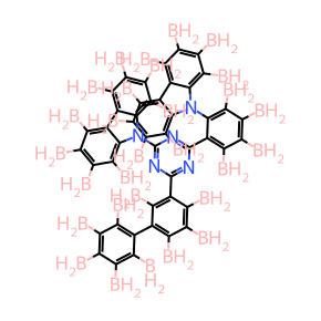 Bc1c(B)c(B)c(-c2c(B)c(B)c(B)c(-c3nc(-c4c(B)c(B)c(B)c(B)c4-n4c5c(B)c(B)c(B)c(B)c5c5c(B)c(B)c(B)c(B)c54)nc(-n4c5c(B)c(B)c(B)c(B)c5c5c(B)c(B)c(B)c(B)c54)n3)c2B)c(B)c1B